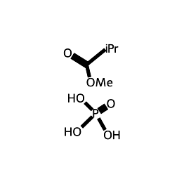 COC(=O)C(C)C.O=P(O)(O)O